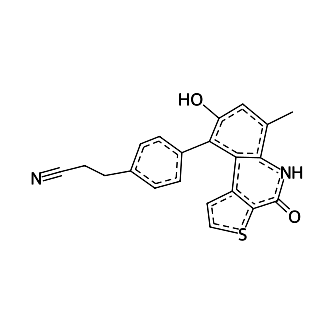 Cc1cc(O)c(-c2ccc(CCC#N)cc2)c2c1[nH]c(=O)c1sccc12